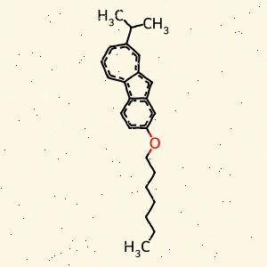 CCCCCCCOc1ccc2c3cccc(C(C)C)cc-3cc2c1